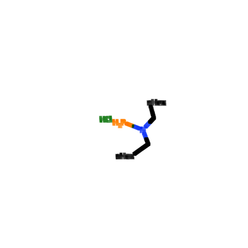 CCCCCCCN(P)CCCCCCC.Cl